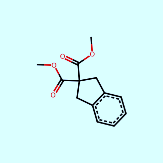 COC(=O)C1(C(=O)OC)Cc2ccccc2C1